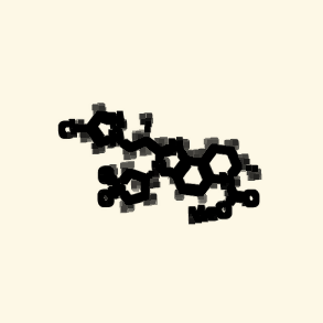 COC(=O)N1c2ccc3c(nc([C@@H](C)Cn4cc(Cl)cn4)n3[C@@H]3CCS(=O)(=O)C3)c2CC[C@@H]1C